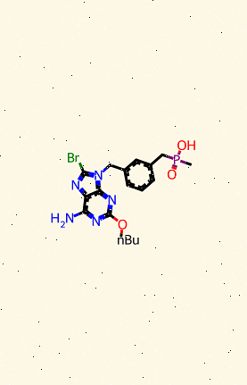 CCCCOc1nc(N)c2nc(Br)n(Cc3cccc(CP(C)(=O)O)c3)c2n1